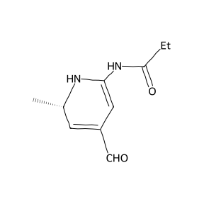 CCC(=O)NC1=CC(C=O)=C[C@H](C)N1